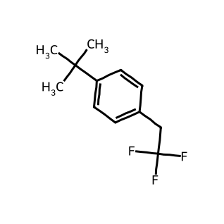 CC(C)(C)c1ccc(CC(F)(F)F)cc1